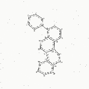 [c]1ccccc1-c1cccc2c1ccc1c3ccccc3ccc21